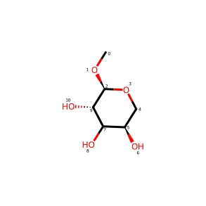 CO[C@H]1OC[C@@H](O)C(O)[C@@H]1O